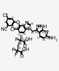 N#Cc1cc(Cl)cc(Oc2c(Cl)ccc3c2ncn3Cc2n[nH]c3nc(N)ccc23)c1.O=C(O)C(F)(F)F.O=C(O)C(F)(F)F